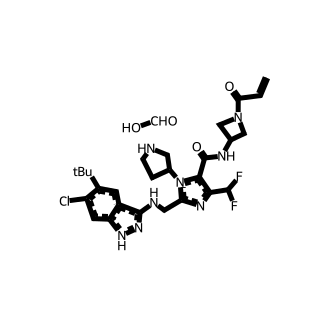 C=CC(=O)N1CC(NC(=O)c2c(C(F)F)nc(CNc3n[nH]c4cc(Cl)c(C(C)(C)C)cc34)n2C2CCNC2)C1.O=CO